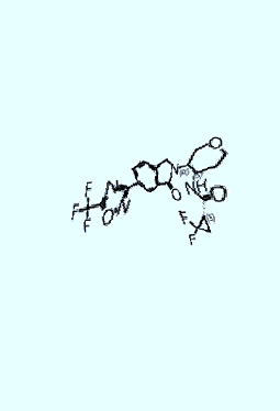 O=C(N[C@H]1CCOC[C@@H]1N1Cc2ccc(-c3noc(C(F)(F)F)n3)cc2C1=O)[C@@H]1CC1(F)F